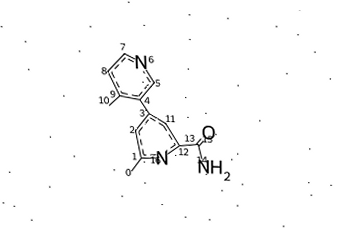 Cc1cc(-c2cnccc2C)cc(C(N)=O)n1